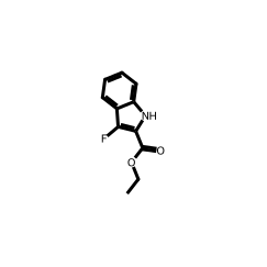 CCOC(=O)c1[nH]c2ccccc2c1F